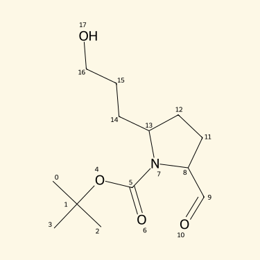 CC(C)(C)OC(=O)N1C(C=O)CCC1CCCO